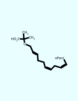 CCCCC/C=C\C/C=C\CC/C=C/COC(C)(C)C(=O)O